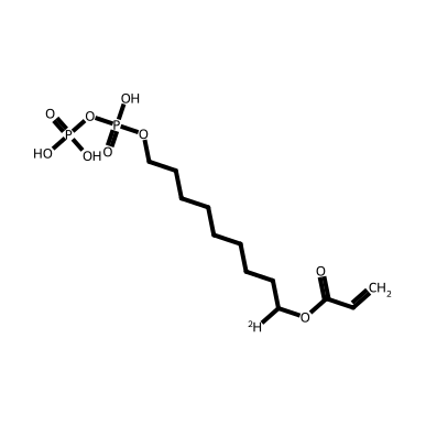 [2H]C(CCCCCCCCOP(=O)(O)OP(=O)(O)O)OC(=O)C=C